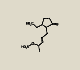 CC(C=CCC1C(=O)CCC1CC(=O)O)OS(=O)(=O)O